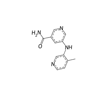 Cc1ccncc1Nc1cncc(C(N)=O)c1